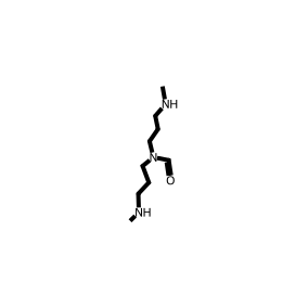 CNCCCN(C=O)CCCNC